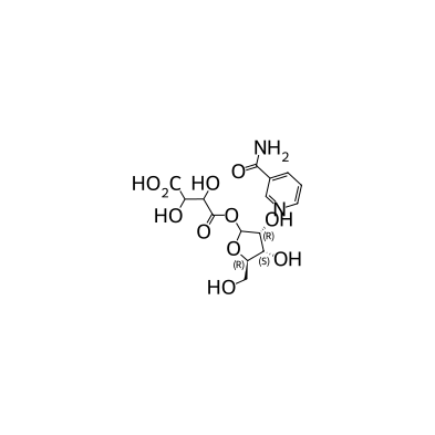 NC(=O)c1cccnc1.O=C(O)C(O)C(O)C(=O)OC1O[C@H](CO)[C@@H](O)[C@H]1O